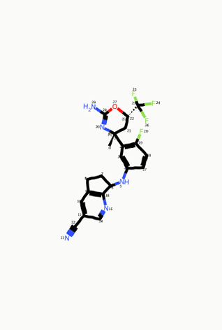 C[C@]1(c2cc(NC3CCc4cc(C#N)cnc43)ccc2F)C[C@@H](C(F)(F)F)OC(N)=N1